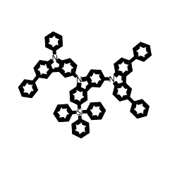 c1ccc(-c2ccc3c(c2)c2cc(-c4ccccc4)ccc2n3-c2ccc3c(c2)c2cc([Si](c4ccccc4)(c4ccccc4)c4ccccc4)ccc2n3-c2ccc3c(c2)c2cc(-c4ccccc4)ccc2n3-c2ccccc2)cc1